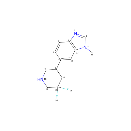 Cn1cnc2ccc(C3CNCC(F)(F)C3)cc21